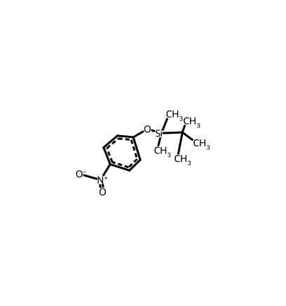 CC(C)(C)[Si](C)(C)Oc1ccc([N+](=O)[O-])cc1